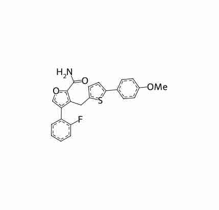 COc1ccc(-c2ccc(Cc3c(-c4ccccc4F)coc3C(N)=O)s2)cc1